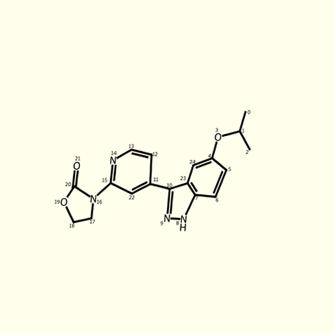 CC(C)Oc1ccc2[nH]nc(-c3ccnc(N4CCOC4=O)c3)c2c1